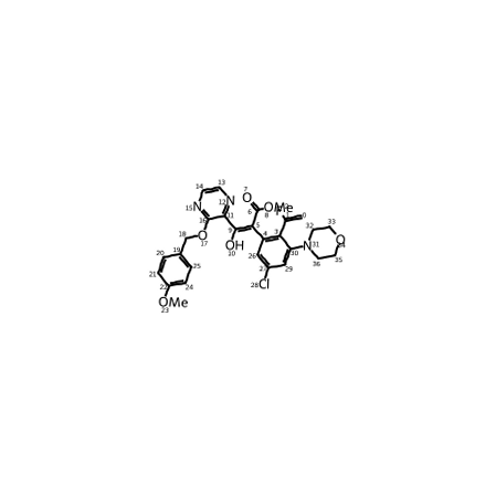 C=C(F)c1c(/C(C(=O)OC)=C(\O)c2nccnc2OCc2ccc(OC)cc2)cc(Cl)cc1N1CCOCC1